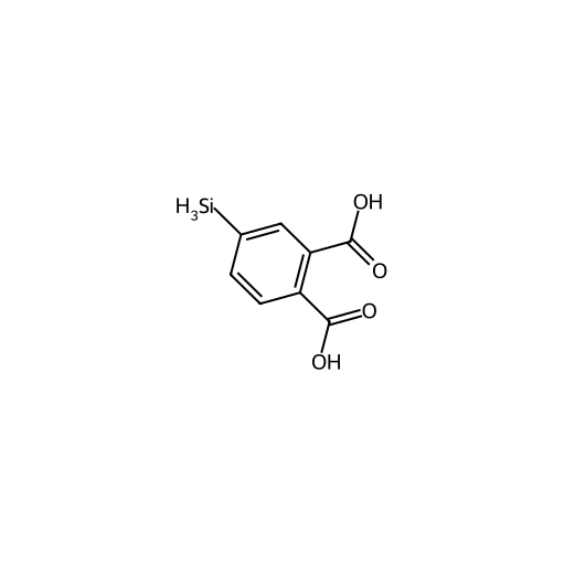 O=C(O)c1ccc([SiH3])cc1C(=O)O